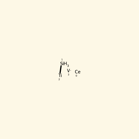 [Ce].[SiH3][Ti].[V]